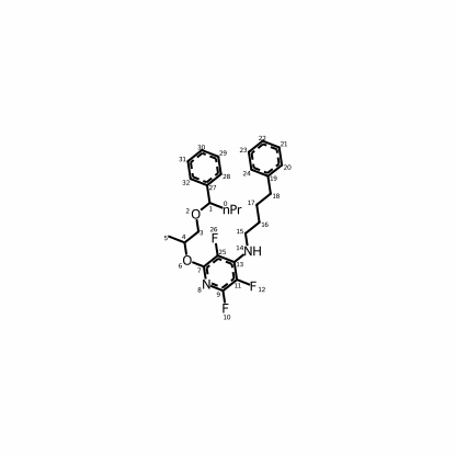 CCCC(OCC(C)Oc1nc(F)c(F)c(NCCCCc2ccccc2)c1F)c1ccccc1